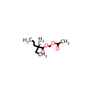 CCCC(C)(CC)C(=O)OCOC(C)=O